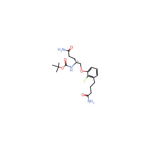 CC(C)(C)OC(=O)N[C@@H](CCC(N)=O)COc1cccc(CCCC(N)=O)c1F